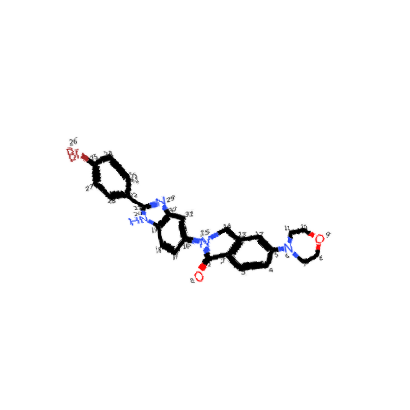 O=C1c2ccc(N3CCOCC3)cc2CN1c1ccc2[nH]c(-c3ccc(Br)cc3)nc2c1